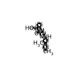 Cc1cc(Nc2ncc3c(=O)n4c(nc3n2)c2ccccc2n4CCO)ccc1N1CCN(C)CC1